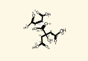 O=C(O)/C=C\C(=O)O.O=C(O)CC(O)(CC(=O)O)C(=O)O